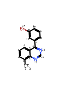 FC(F)(F)c1cccc2c(-c3cccc(Br)c3)ncnc12